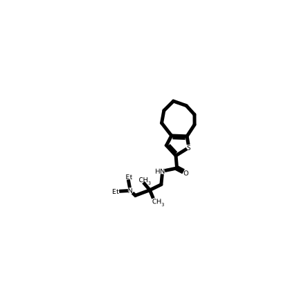 CCN(CC)CC(C)(C)CNC(=O)c1cc2c(s1)CCCCCC2